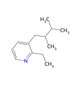 CCc1ncccc1CC(C)C(C)C